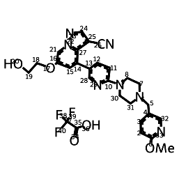 COc1ccc(CN2CCN(c3ccc(-c4cc(OCCO)cn5ncc(C#N)c45)cn3)CC2)cn1.O=C(O)C(F)(F)F